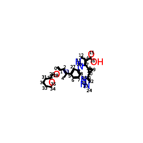 C=C(/C=C(\C)c1cccc(-n2ncc(C(=O)O)c2C2CC2c2cn(C)nn2)c1)OCC1CCCCO1